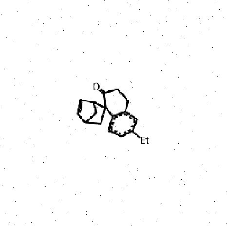 CCc1ccc2c(c1)CCC(=O)C21CC2C=CC1C2